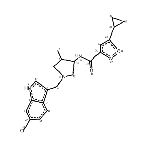 CC1CN(Cc2c[nH]c3cc(Cl)ccc23)CC1NC(=O)c1cc(C2CC2)on1